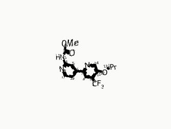 COC(=O)Nc1cc(-c2cc(C(F)(F)F)c(OC(C)C)cn2)ccn1